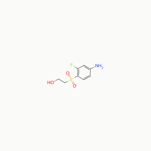 Nc1ccc(S(=O)(=O)CCO)c(F)c1